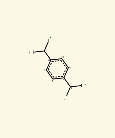 IC(I)c1ccc(C(I)I)cc1